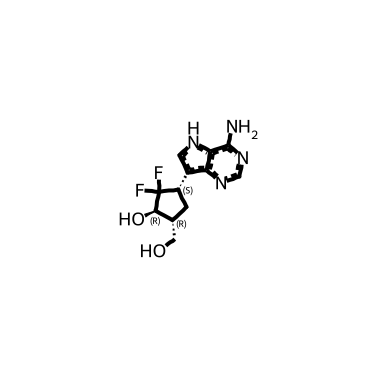 Nc1ncnc2c([C@@H]3C[C@H](CO)[C@@H](O)C3(F)F)c[nH]c12